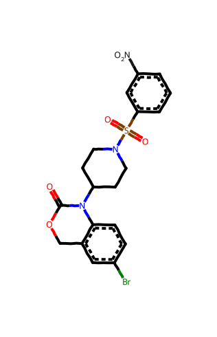 O=C1OCc2cc(Br)ccc2N1C1CCN(S(=O)(=O)c2cccc([N+](=O)[O-])c2)CC1